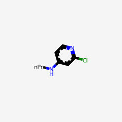 CCCNc1ccnc(Cl)c1